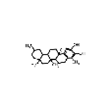 Cc1c(O)c(O)cc2c1CCC1C2(C)CCC2C3CC(C)CCC3(C)CCC21C